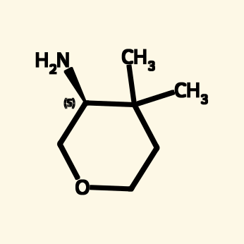 CC1(C)CCOC[C@H]1N